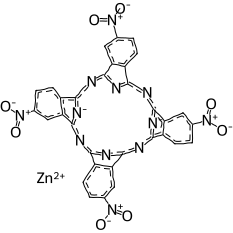 O=[N+]([O-])c1ccc2c(c1)-c1nc-2nc2[n-]c(nc3nc(nc4[n-]c(n1)c1ccc([N+](=O)[O-])cc41)-c1ccc([N+](=O)[O-])cc1-3)c1ccc([N+](=O)[O-])cc21.[Zn+2]